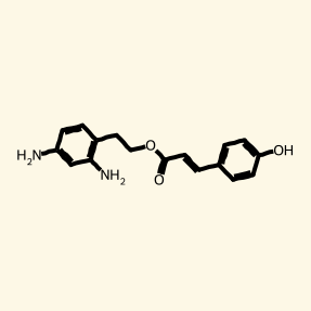 Nc1ccc(CCOC(=O)/C=C/c2ccc(O)cc2)c(N)c1